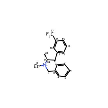 CCN(Cc1ccccc1)[C@@H](C)Cc1cccc(C(F)(F)F)c1